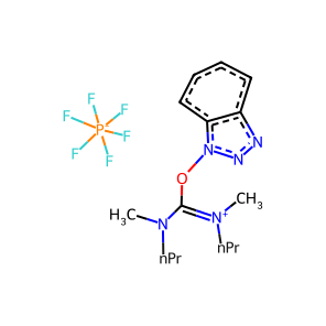 CCCN(C)C(On1nnc2ccccc21)=[N+](C)CCC.F[P-](F)(F)(F)(F)F